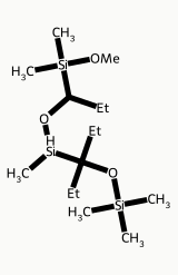 CCC(O[SiH](C)C(CC)(CC)O[Si](C)(C)C)[Si](C)(C)OC